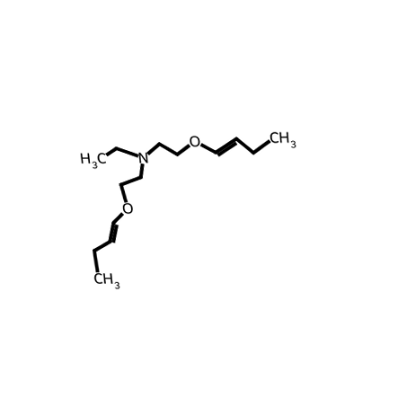 CCC=COCCN(CC)CCOC=CCC